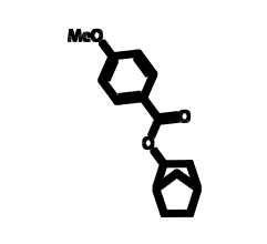 COc1ccc(C(=O)OC2CC3CCC2C3)cc1